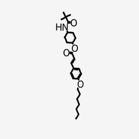 CCCCCCCOc1ccc(/C=C/C(=O)OC2CCC(NC(=O)C(C)(C)C)CC2)cc1